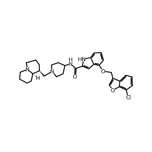 O=C(NC1CCN(C[C@@H]2CCCN3CCCC[C@H]23)CC1)c1cc2c(OCc3coc4c(Cl)cccc34)cccc2[nH]1